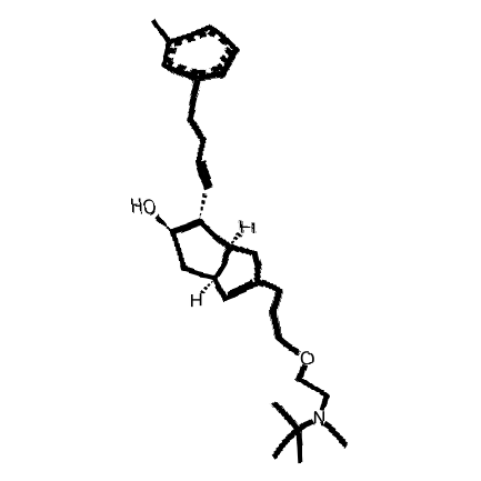 Cc1cccc(CC/C=C/[C@@H]2[C@H]3CC(CCOCCN(C)C(C)(C)C)=C[C@H]3C[C@H]2O)c1